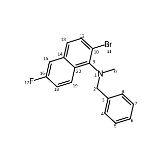 CN(Cc1ccccc1)c1c(Br)ccc2cc(F)ccc12